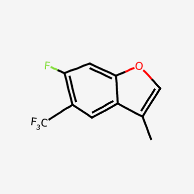 Cc1coc2cc(F)c(C(F)(F)F)cc12